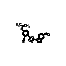 CC(C)Oc1ccc(-c2nc(-n3ccc4cc(C=O)ccc43)no2)c(C#N)c1